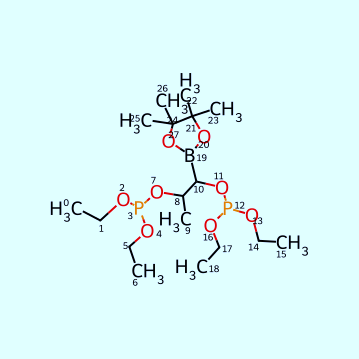 CCOP(OCC)OC(C)C(OP(OCC)OCC)B1OC(C)(C)C(C)(C)O1